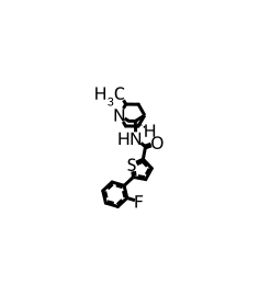 CC1CC2CCN1C[C@@H]2NC(=O)c1ccc(-c2ccccc2F)s1